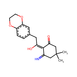 CC1(C)CC(=N)/C(=C(\O)Cc2ccc3c(c2)OCCO3)C(=O)C1